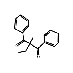 CCC(C)(C(=O)c1ccccc1)C(=O)c1ccccc1